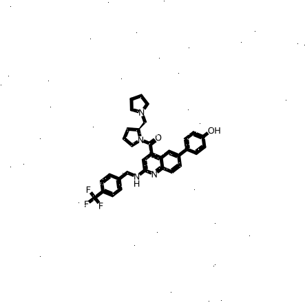 O=C(c1cc(NCc2ccc(C(F)(F)F)cc2)nc2ccc(-c3ccc(O)cc3)cc12)N1CCC[C@H]1CN1CCCC1